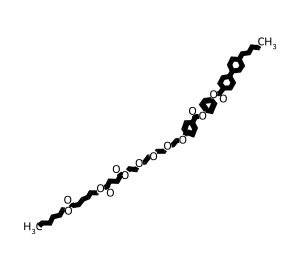 CCCCCCOC(=O)CCCCCOC(=O)CCC(=O)OCCOCCOCCOCCOc1ccc(C(=O)Oc2ccc(OC(=O)C3CCC(C4CCC(CCCCC)CC4)CC3)cc2)cc1